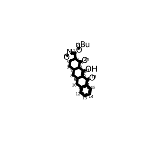 CCCCOC1=NOC2CC3CC4Cc5ccccc5C(=O)C4=C(O)C3C(=O)C12